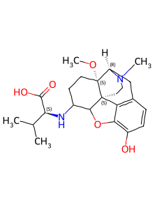 CO[C@@]12CCC(N[C@H](C(=O)O)C(C)C)C3Oc4c(O)ccc5c4[C@@]31CCN(C)[C@@H]2C5